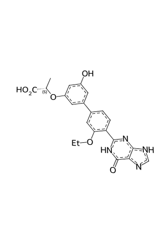 CCOc1cc(-c2cc(O)cc(O[C@@H](C)C(=O)O)c2)ccc1-c1nc2[nH]cnc2c(=O)[nH]1